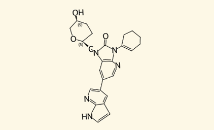 O=c1n(C[C@@H]2CC[C@H](O)CO2)c2cc(-c3cnc4[nH]ccc4c3)cnc2n1C1=CCCCC1